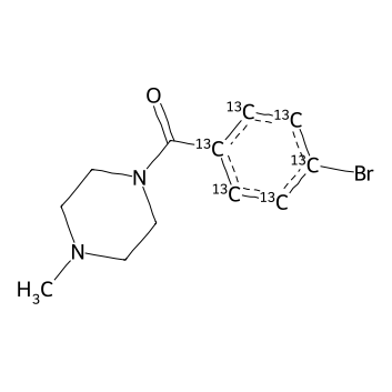 CN1CCN(C(=O)[13c]2[13cH][13cH][13c](Br)[13cH][13cH]2)CC1